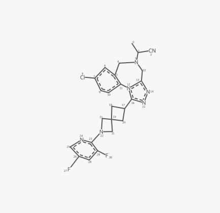 CC(C#N)N1Cc2cc(Cl)ccc2-n2c(nnc2C2CC3(C2)CN(c2ncc(F)cc2F)C3)C1